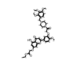 CCOC(=O)COc1cc(O)c2c(=O)cc(-c3ccc(OC)c(OCC(=O)N4CCN(Cc5ccc(OC)c(OC)c5OC)CC4)c3)oc2c1